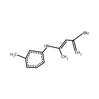 C=C(/C=C(\C)Nc1cccc(C)c1)C(C)(C)C